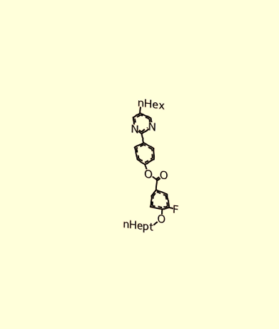 CCCCCCCOc1ccc(C(=O)Oc2ccc(-c3ncc(CCCCCC)cn3)cc2)cc1F